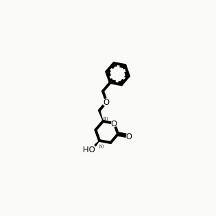 O=C1C[C@@H](O)C[C@@H](COCc2ccccc2)O1